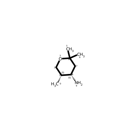 C[C@@H]1COC(C)(C)C[C@@H]1N